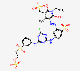 CCn1c(O)c(/N=N/c2cc(Nc3nc(Cl)nc(Nc4cccc(S(=O)(=O)CCOS(=O)(=O)O)c4)n3)ccc2S(=O)(=O)O)c(C)c(CS(=O)(=O)O)c1=O